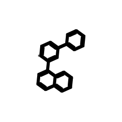 [c]1ccc(-c2ccccc2)cc1-c1cccc2ccccc12